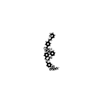 [N-]=[N+]=NS(=O)(=O)c1ccc(CN(CCSc2ccccc2)Cc2ccc(S(=O)(=O)NC(=O)c3ccc(CCc4ccccn4)cc3)cc2)cc1